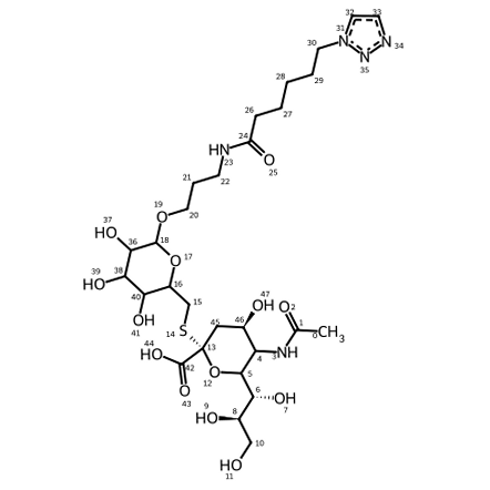 CC(=O)NC1C([C@H](O)[C@H](O)CO)O[C@@](SCC2OC(OCCCNC(=O)CCCCCn3ccnn3)C(O)C(O)C2O)(C(=O)O)C[C@H]1O